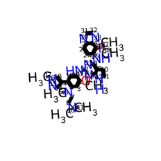 COc1cc(N(C)CCN(C)C)c(-c2cnn(C)c2)cc1Nc1nc(Nc2ccc3nccnc3c2P(C)C)c2cc[nH]c2n1